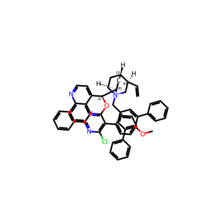 C=C[C@H]1C[N+]2(Cc3cc(-c4ccccc4)c(OC)c(-c4ccccc4)c3)CC[C@H]1C[C@@H]2[C@@H](Oc1nc(-c2ccccc2)nc(Cl)c1-c1ccccc1)c1ccnc2ccccc12